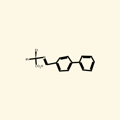 CC[C@@](N=Cc1ccc(-c2ccccc2)cc1)(C(=O)O)C(C)C